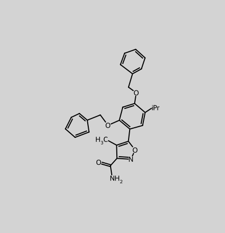 Cc1c(C(N)=O)noc1-c1cc(C(C)C)c(OCc2ccccc2)cc1OCc1ccccc1